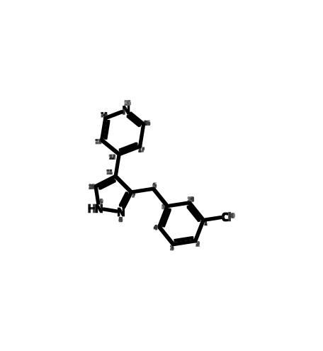 Clc1cccc(Cc2n[nH]cc2-c2ccncc2)c1